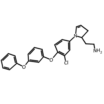 NCCC1CC=CN1c1ccc(Oc2cccc(Oc3ccccc3)c2)c(Cl)c1